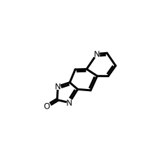 O=C1N=c2cc3cccnc3cc2=N1